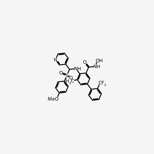 COc1ccc(S(=O)(=O)C(Nc2c(C)cc(-c3ccccc3C(F)(F)F)cc2C(=O)NO)c2cccnc2)cc1